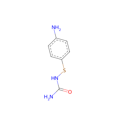 NC(=O)NSc1ccc(N)cc1